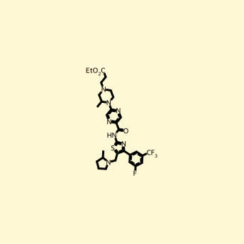 CCOC(=O)CCN1CCN(c2cnc(C(=O)Nc3nc(-c4cc(F)cc(C(F)(F)F)c4)c(CN4CCCC4C)s3)cn2)C(C)C1